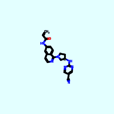 C=CC(=O)Nc1ccc2c(N3CC[C@@H](Nc4ncc(C#N)cn4)C3)nccc2c1